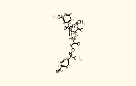 COC(=O)[C@H](CNC(=O)CON=C(C)c1ccc(C#N)cc1)NS(=O)(=O)c1cccc(C)c1